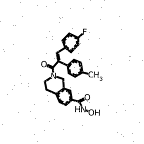 Cc1ccc(C(=Cc2ccc(F)cc2)C(=O)N2CCc3ccc(C(=O)NO)cc3C2)cc1